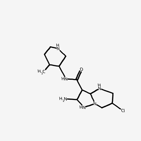 CC1CCNCC1NC(=O)C1C(N)NN2CC(Cl)CNC12